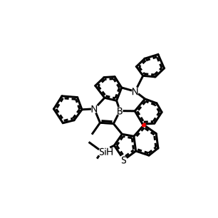 CC1=C(c2c([SiH](C)C)sc3ccccc23)B2c3ccccc3N(c3ccccc3)c3cccc(c32)N1c1ccccc1